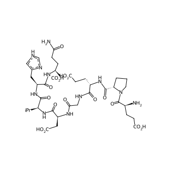 CC(C)[C@H](NC(=O)[C@H](CC(=O)O)NC(=O)CNC(=O)[C@H](CCC(=O)O)NC(=O)[C@@H]1CCCN1C(=O)[C@@H](N)CCC(=O)O)C(=O)N[C@@H](Cc1c[nH]cn1)C(=O)N[C@@H](CCC(N)=O)C(=O)O